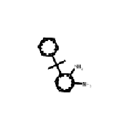 CC(C)(c1ccccc1)c1cccc(N)c1N